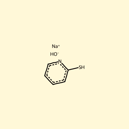 Sc1ccccn1.[Na+].[OH-]